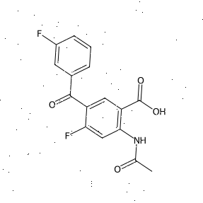 CC(=O)Nc1cc(F)c(C(=O)c2cccc(F)c2)cc1C(=O)O